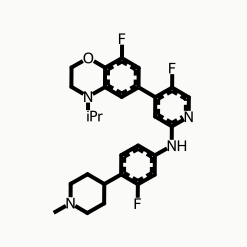 CC(C)N1CCOc2c(F)cc(-c3cc(Nc4ccc(C5CCN(C)CC5)c(F)c4)ncc3F)cc21